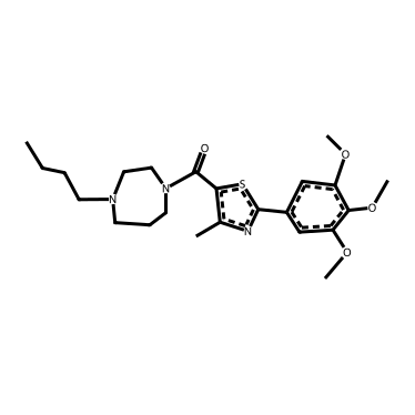 CCCCN1CCCN(C(=O)c2sc(-c3cc(OC)c(OC)c(OC)c3)nc2C)CC1